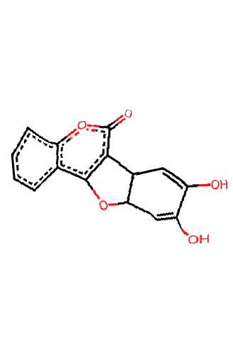 O=c1oc2ccccc2c2c1C1C=C(O)C(O)=CC1O2